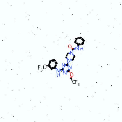 O=C(Nc1ccccc1)N1CCN(c2nc(Nc3cccc(C(F)(F)F)c3)nc(OCC(F)(F)F)n2)CC1